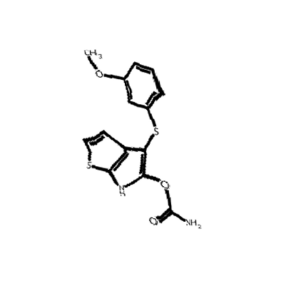 COc1cccc(Sc2c(OC(N)=O)[nH]c3sccc23)c1